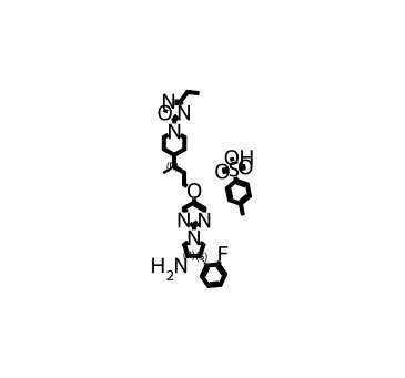 CCc1noc(N2CCC([C@H](C)CCOc3cnc(N4C[C@H](c5ccccc5F)[C@@H](N)C4)nc3)CC2)n1.Cc1ccc(S(=O)(=O)O)cc1